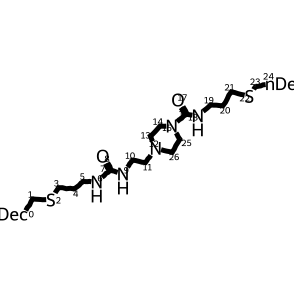 CCCCCCCCCCCSCCCNC(=O)NCCN1CCN(C(=O)NCCCSCCCCCCCCCCC)CC1